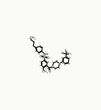 CCCCc1ccc(NS(=O)(=O)c2ccc(C)c(C(=O)N3CCN(c4cccc(C(F)(F)F)c4)CC3)c2)cc1